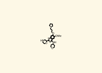 COc1cc2c(NC3CCOCC3)nc(C3CNCCO3)nc2cc1OCCCN1CCCC1